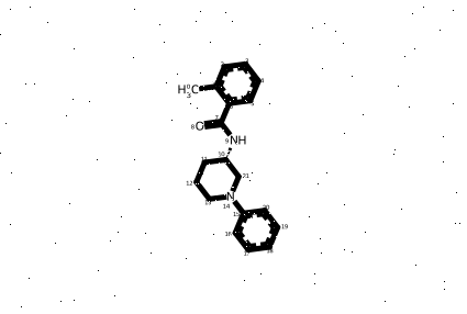 Cc1ccccc1C(=O)N[C@H]1CCCN(c2ccccc2)C1